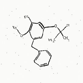 CCOc1c(CC)cc(OC(C)(C)CC)cc1Cc1ccccc1